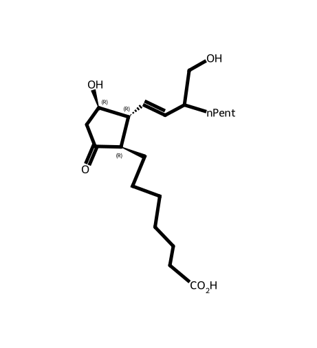 CCCCCC(C=C[C@H]1[C@H](O)CC(=O)[C@@H]1CCCCCCC(=O)O)CO